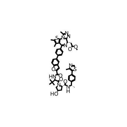 COC(=O)C[C@@H]1N=C(c2ccc(-c3ccc4oc(C(=O)NC(C(=O)N5C[C@H](O)C[C@H]5C(=O)N[C@@H](C)c5ccc(-c6scnc6C)cc5)C(C)(C)C)cc4c3)cc2)c2c(sc(C)c2C)-n2c(C)nnc21